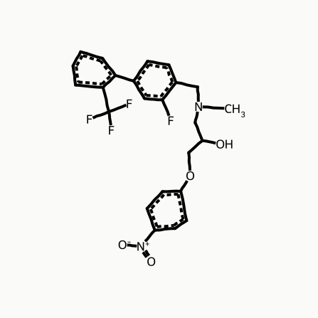 CN(Cc1ccc(-c2ccccc2C(F)(F)F)cc1F)CC(O)COc1ccc([N+](=O)[O-])cc1